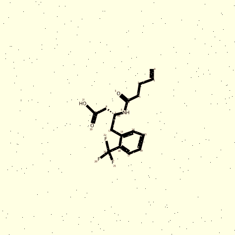 C=CCCC(=O)N[C@@H](CC(=O)O)Cc1ccccc1C(F)(F)F